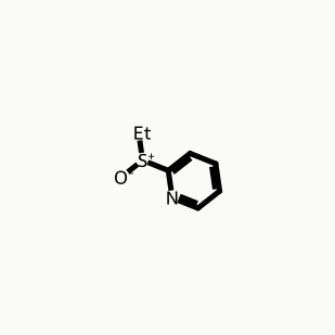 [CH2]C[S+]([O-])c1ccccn1